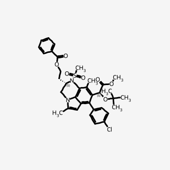 COC(=O)[C@@H](OC(C)(C)C)c1c(C)c2c3c(cc(C)n3C[C@H](CCOC(=O)c3ccccc3)N2S(C)(=O)=O)c1-c1ccc(Cl)cc1